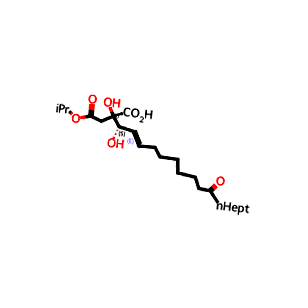 CCCCCCCC(=O)CCCCCC/C=C/[C@H](O)[C@@](O)(CC(=O)OC(C)C)C(=O)O